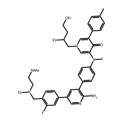 CCC(CCO)Cn1cc(-c2ccc(C)cc2)c(=O)c(N(F)c2ccc(-c3cc(-c4ccc(CN(CC)CCNC)c(F)c4)cnc3N)cc2)c1